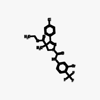 CCOC(=O)C1(C)CN(C(=O)Nc2ccc(C(F)(F)F)c(Br)c2)N=C1c1ccc(Cl)cc1